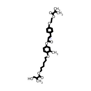 C=C(C)C(=O)OCCOc1ccc(/C=C/C(=O)Oc2ccc(OCCCCCCOC(=O)C(=C)CO)c(C)c2)cc1